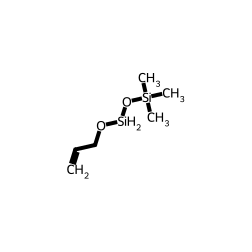 C=CCO[SiH2]O[Si](C)(C)C